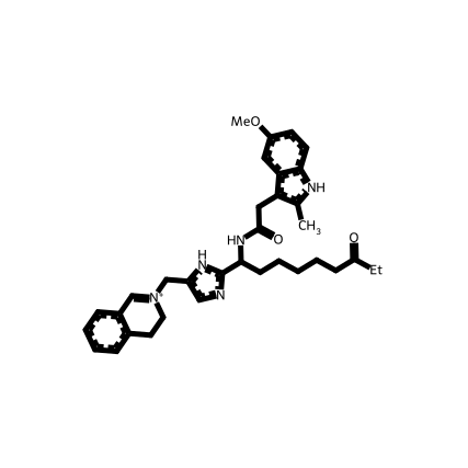 CCC(=O)CCCCCC(NC(=O)Cc1c(C)[nH]c2ccc(OC)cc12)c1ncc(C[N+]2=Cc3ccccc3CC2)[nH]1